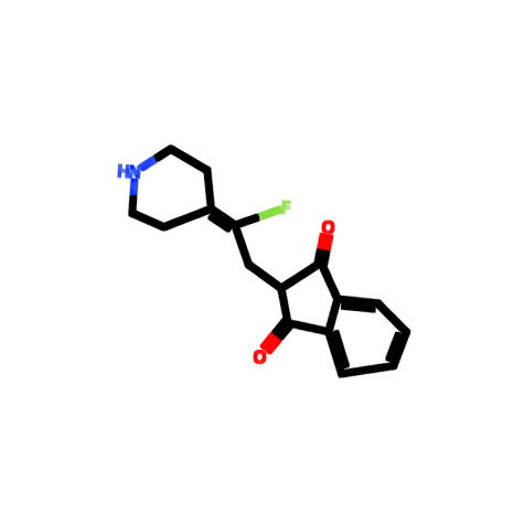 O=C1c2ccccc2C(=O)C1CC(F)=C1CCNCC1